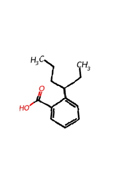 CCCC(CC)c1ccccc1C(=O)O